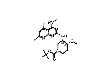 CNc1nc(N[C@H]2CN(C(=O)OC(C)(C)C)CC[C@H]2OC)nc2nc(C)cc(C)c12